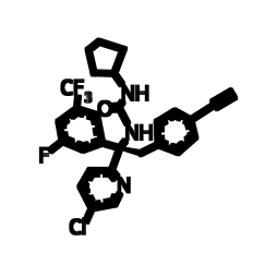 C#Cc1ccc(C[C@](NC(=O)NC2CCCC2)(c2cc(F)cc(C(F)(F)F)c2)c2ccc(Cl)cn2)cc1